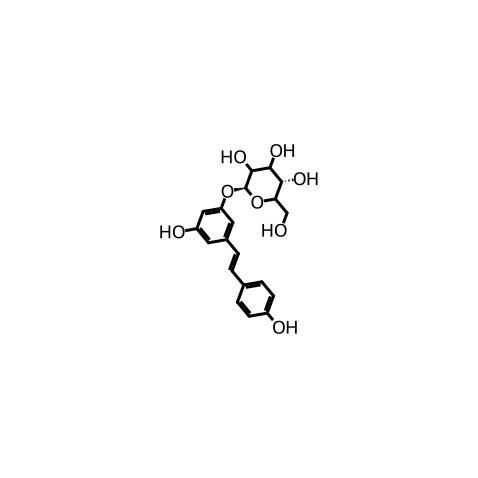 OCC1O[C@@H](Oc2cc(O)cc(/C=C/c3ccc(O)cc3)c2)C(O)C(O)[C@@H]1O